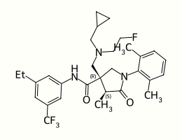 CCc1cc(NC(=O)[C@]2(CN(CCF)CC3CC3)CN(c3c(C)cccc3C)C(=O)[C@H]2C)cc(C(F)(F)F)c1